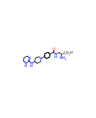 N[C@@H](CNC(=O)c1ccc(N2CCC(NC3=NCCCN3)CC2)cc1)C(=O)O